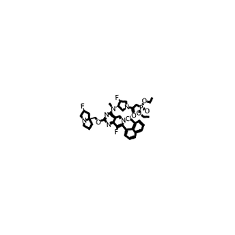 CCOP(=O)(CC(=O)N1C[C@H](F)[C@@H](N(C)c2nc(OC[C@@]34CCCN3C[C@H](F)C4)nc3c(F)c(-c4cccc5cccc(Cl)c45)ncc23)C1)OCC